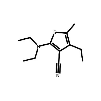 CCc1c(C)sc(N(CC)CC)c1C#N